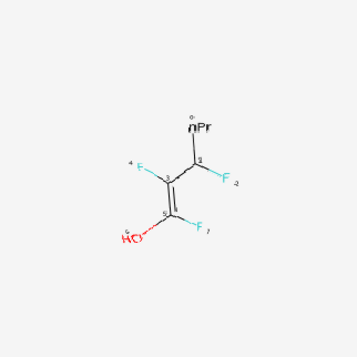 CCCC(F)C(F)=C(O)F